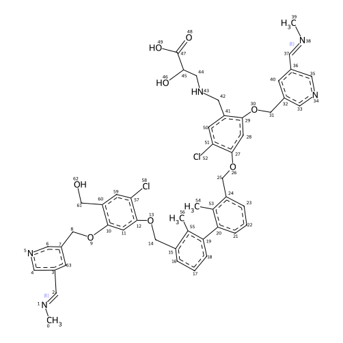 C/N=C/c1cncc(COc2cc(OCc3cccc(-c4cccc(COc5cc(OCc6cncc(/C=N/C)c6)c(CNCC(O)C(=O)O)cc5Cl)c4C)c3C)c(Cl)cc2CO)c1